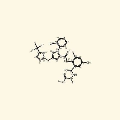 COC(=O)N(C)NC(=O)c1cc(Cl)cc(C)c1NC(=O)c1cc(Cn2nnc(C(C)(F)F)n2)nn1-c1ncccc1Cl